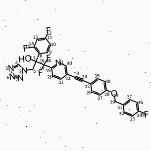 OC(Cn1cnnn1)(c1ccc(F)cc1F)C(F)(F)c1ccc(C#Cc2ccc(OCc3ccc(F)cc3)cc2)cn1